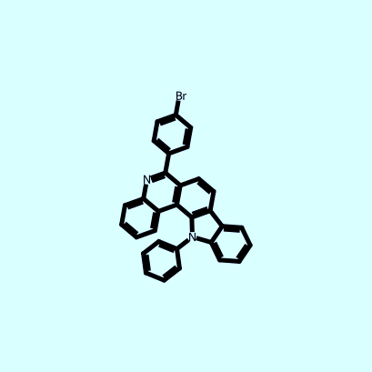 Brc1ccc(-c2nc3ccccc3c3c2ccc2c4ccccc4n(-c4ccccc4)c23)cc1